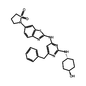 O=S1(=O)CCCN1c1ccc2nc(Nc3cc(Cc4ccccc4)nc(N[C@H]4CC[C@H](O)CC4)n3)sc2c1